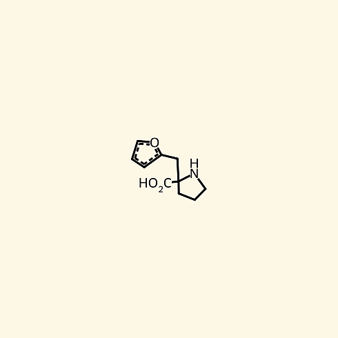 O=C(O)C1(Cc2ccco2)CCCN1